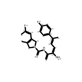 C=C(NC(=O)N1CC(C)=C(/C=C(\C)F)C1)/C(N)=C\C=C(/C)c1ccc(F)cc1